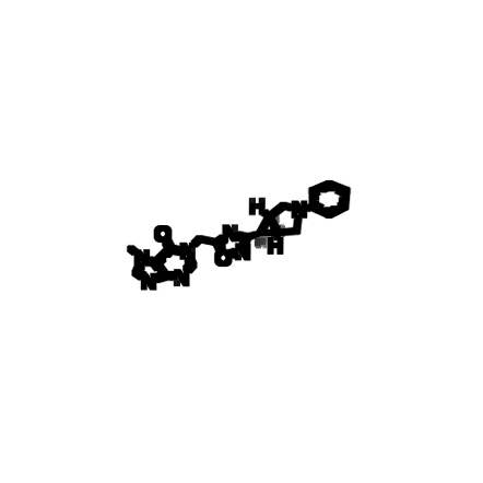 Cn1cnc2ncn(Cc3nc([C@H]4[C@@H]5CN(c6ccccc6)C[C@@H]54)no3)c(=O)c21